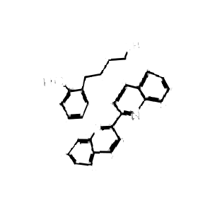 CCCCCc1ccccc1O.c1ccc2nc(-c3ccc4ccccc4n3)ccc2c1